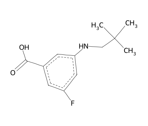 CC(C)(C)CNc1cc(F)cc(C(=O)O)c1